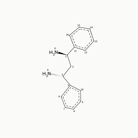 N[C@H](C[C@@H](N)c1ccccc1)c1ccccc1